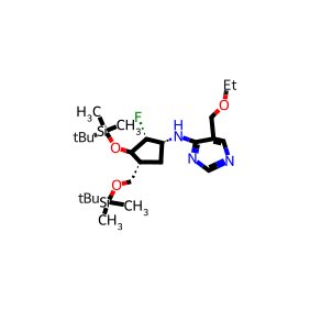 CCOCc1cncnc1N[C@@H]1C[C@H](CO[Si](C)(C)C(C)(C)C)C(O[Si](C)(C)C(C)(C)C)[C@@H]1F